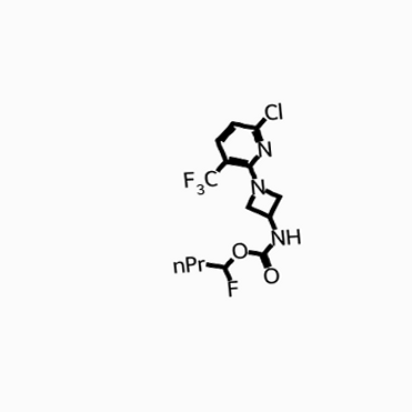 CCCC(F)OC(=O)NC1CN(c2nc(Cl)ccc2C(F)(F)F)C1